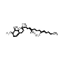 CCCC/C=C(\C)CCC/C(C)=C/CCC1(C)CCC2=CCC(C)C(C)C2O1